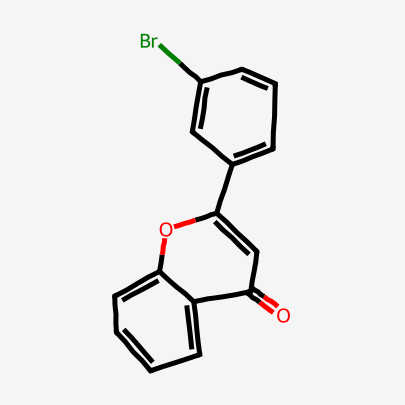 O=c1cc(-c2cccc(Br)c2)oc2ccccc12